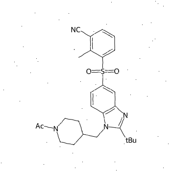 CC(=O)N1CCC(Cn2c(C(C)(C)C)nc3cc(S(=O)(=O)c4cccc(C#N)c4C)ccc32)CC1